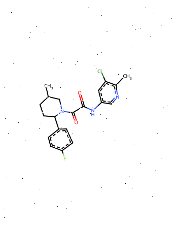 Cc1ncc(NC(=O)C(=O)N2CC(C)CCC2c2ccc(F)cc2)cc1Cl